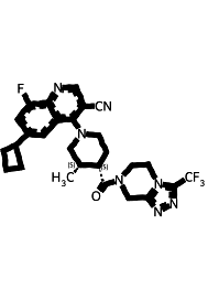 C[C@@H]1CN(c2c(C#N)cnc3c(F)cc(C4CCC4)cc23)CC[C@@H]1C(=O)N1CCn2c(nnc2C(F)(F)F)C1